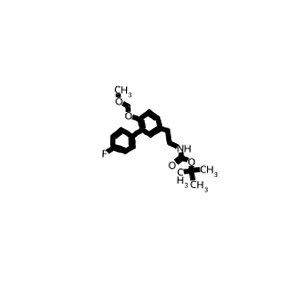 COCOc1ccc(CCNC(=O)OC(C)(C)C)cc1-c1ccc(F)cc1